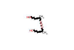 CC(C#CCCCCO)CCOCOCOCCC(C)C#CCCCCO